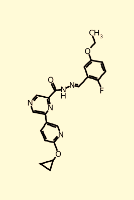 CCOc1ccc(F)c(/C=N/NC(=O)c2cncc(-c3ccc(OC4CC4)nc3)n2)c1